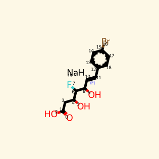 O=C(O)CC(O)C(F)C(O)/C=C/c1ccc(Br)cc1.[NaH]